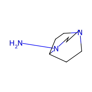 NN1CCCN2CCC1CC2